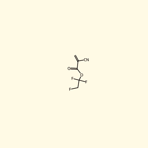 C=C(C#N)C(=O)OC(F)(F)CF